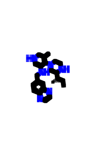 CC[C@H](C)C1CN(C2=C(C)CNC=C2NCc2ccc3nccnc3c2)CCN1